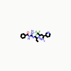 C=C/C(=C\N=C(/N)NC(=O)c1ccccc1)N(N)/C(=C\C(=C)c1cccnc1)C(F)(F)F